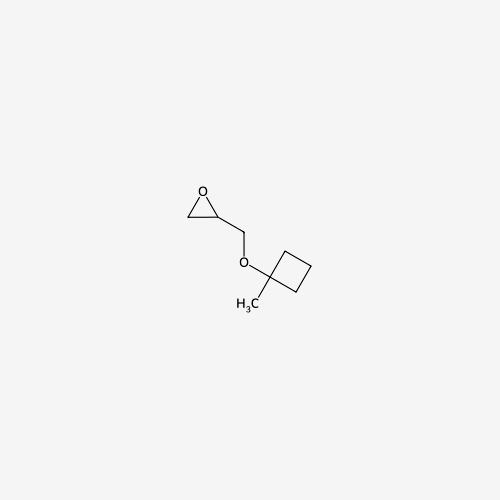 CC1(OCC2CO2)CCC1